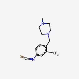 CN1CCN(Cc2ccc(N=C=S)cc2C(F)(F)F)CC1